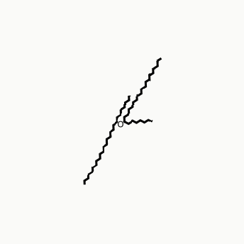 CCCCCCCCCCCCCCCCCCC(CCCCCCC)OC(CCCCCCC)CCCCCCCCCCCCCCCCCC